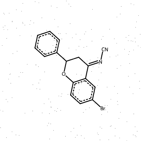 N#CN=C1CC(c2ccccc2)Oc2ccc(Br)cc21